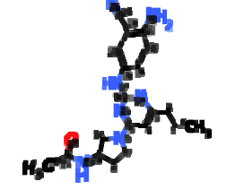 CCCc1cc(N2CCC(NC(C)=O)C2)nc(Nc2ccc(N)c(C#N)c2)n1